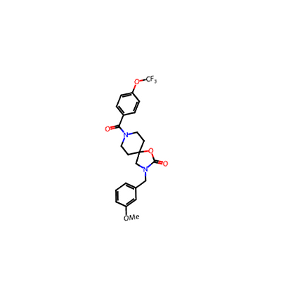 COc1cccc(CN2CC3(CCN(C(=O)c4ccc(OC(F)(F)F)cc4)CC3)OC2=O)c1